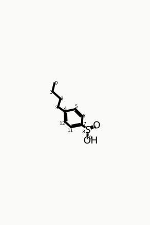 CCCCc1ccc(S(=O)O)cc1